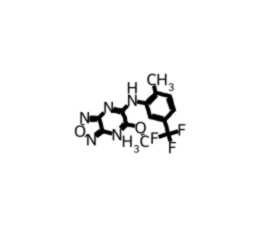 COc1nc2nonc2nc1Nc1cc(C(F)(F)F)ccc1C